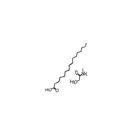 CCCCCCCCCCCCCCCC(=O)O.CNC(=O)CO